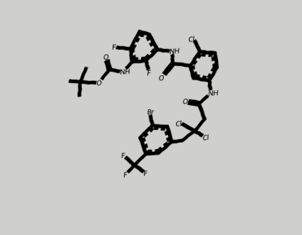 CC(C)(C)OC(=O)Nc1c(F)ccc(NC(=O)c2cc(NC(=O)CC(Cl)(Cl)Cc3cc(Br)cc(C(F)(F)F)c3)ccc2Cl)c1F